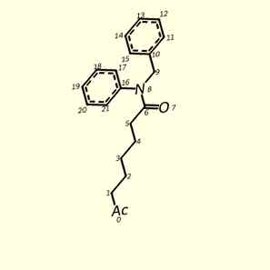 CC(=O)CCCCCC(=O)N(Cc1ccccc1)c1ccccc1